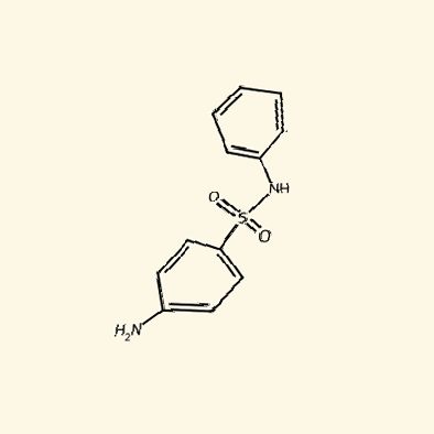 Nc1ccc(S(=O)(=O)Nc2[c]cccc2)cc1